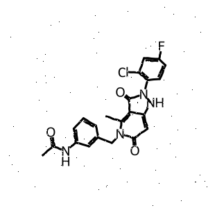 CC(=O)Nc1cccc(Cn2c(C)c3c(=O)n(-c4ccc(F)cc4Cl)[nH]c3cc2=O)c1